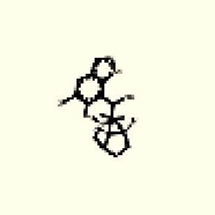 CC(=O)N1CC2CC[C@@H](C1)[C@H]2C(F)(F)C(O)c1c(F)c(Cl)cc2cn[nH]c12